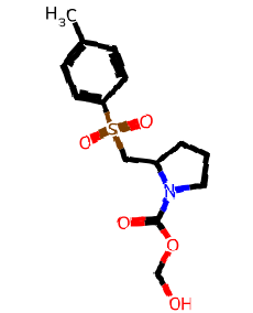 Cc1ccc(S(=O)(=O)CC2CCCN2C(=O)OCO)cc1